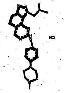 CC(C)Cn1nnc2ccc3cnc(Nc4ccc(N5CCN(C)CC5)cn4)nc3c21.Cl